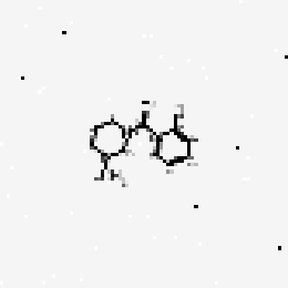 CC1CCCN(C(=O)c2cc[c]cc2Cl)C1